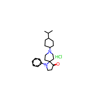 CC(C)C1CCC(N2CCC3(CC2)C(=O)CCN3c2ccccc2)CC1.Cl